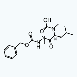 CC(C)C[C@@H](C(=O)NNC(=O)OCc1ccccc1)N(C)C(=O)O